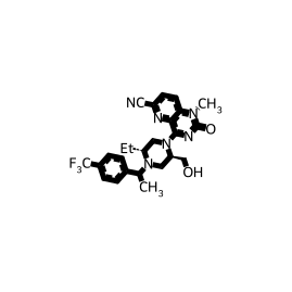 CC[C@@H]1CN(c2nc(=O)n(C)c3ccc(C#N)nc23)[C@@H](CO)CN1C(C)c1ccc(C(F)(F)F)cc1